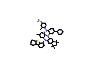 Cc1cc2c3c(c1)N(c1cccc4c1sc1ccccc14)c1cc4c(cc1B3c1cc(-c3ccccc3)ccc1N2c1ccc(C(C)(C)C)cc1C)C(C)(C)CC4(C)C